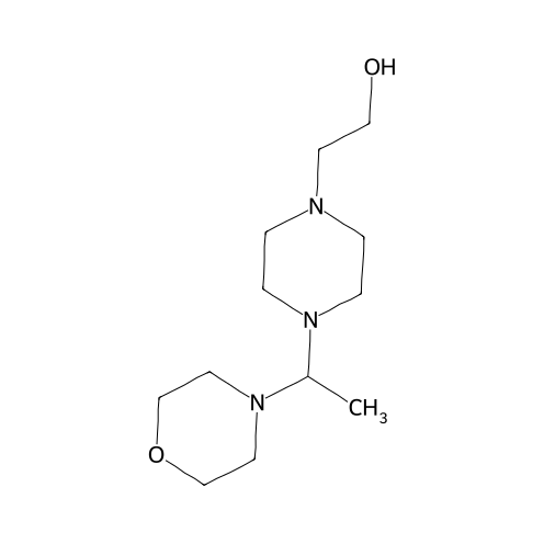 CC(N1CCOCC1)N1CCN(CCO)CC1